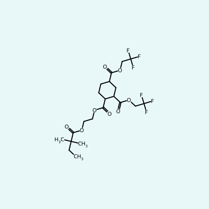 CCC(C)(C)C(=O)OCCOC(=O)C1CCC(C(=O)OCC(F)(F)F)CC1C(=O)OCC(F)(F)F